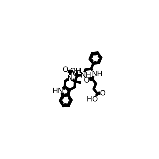 CC1(C(=O)NCC(NC(=O)CCC(=O)O)c2ccccc2)Cc2c([nH]c3ccccc23)CN1C(=O)O